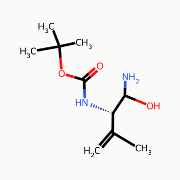 C=C(C)[C@H](NC(=O)OC(C)(C)C)C(N)O